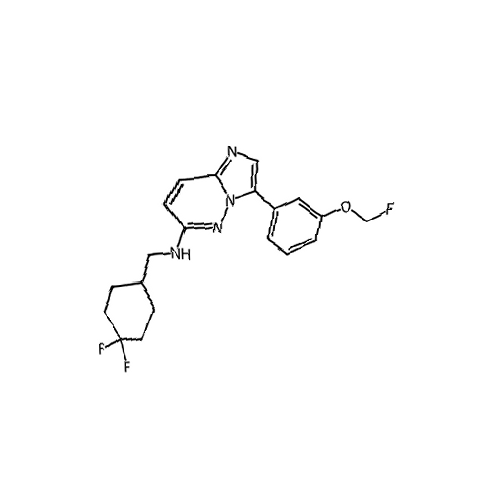 FCOc1cccc(-c2cnc3ccc(NCC4CCC(F)(F)CC4)nn23)c1